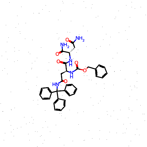 NC(=O)C[C@H](NC(=O)[C@H](CC(=O)NC(c1ccccc1)(c1ccccc1)c1ccccc1)NC(=O)OCc1ccccc1)C(N)=O